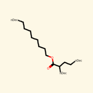 CCCCCCCCCCCCCCCCCCOC(=O)C(CCCCCCCCCC)CCCCCCCCCCCC